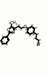 Cc1oc(-c2ccccc2)nc1CCOc1ccc(CCCBr)cc1